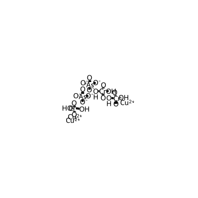 O=[As]([O-])([O-])[O-].O=[As]([O-])([O-])[O-].[Cu+2].[Cu+2].[Cu+2].[O]=[Cr](=[O])([OH])[OH].[O]=[Cr](=[O])([OH])[OH].[O]=[Cr](=[O])([OH])[OH]